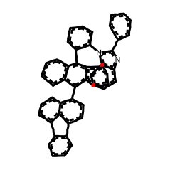 c1ccc(-c2nc3ccccc3n2-c2ccccc2-c2c3ccccc3c(-c3ccc4c5c(cccc35)-c3ccccc3-4)c3ccccc23)cc1